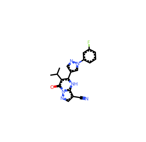 CC(C)c1c(-c2cnn(-c3cccc(F)c3)c2)[nH]c2c(C#N)cnn2c1=O